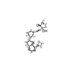 CN1CC[C@](O)(C#Cc2cccc(-c3ccc4ncnc(N5CCC5)c4n3)c2)C1=O